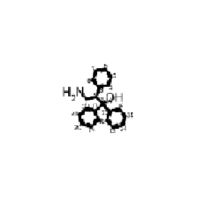 NCC(c1ccccc1)C(O)(c1ccccc1)c1ccccc1